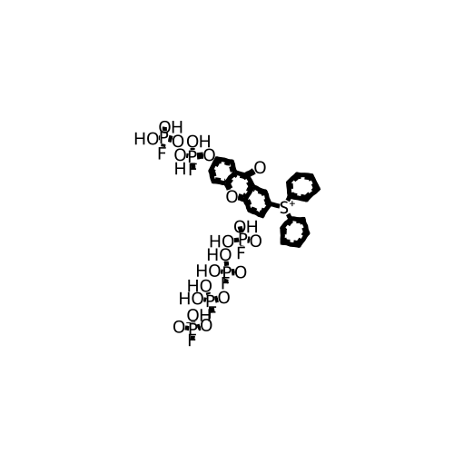 O=P(O)(O)F.O=P(O)(O)F.O=P(O)(O)F.O=P(O)(O)F.O=P(O)(O)F.O=P([O-])(O)F.O=c1c2ccccc2oc2ccc([S+](c3ccccc3)c3ccccc3)cc12